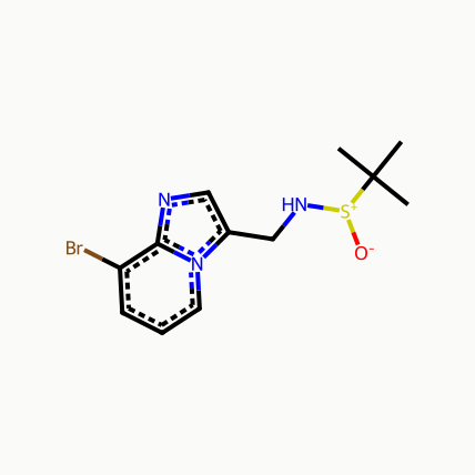 CC(C)(C)[S+]([O-])NCc1cnc2c(Br)cccn12